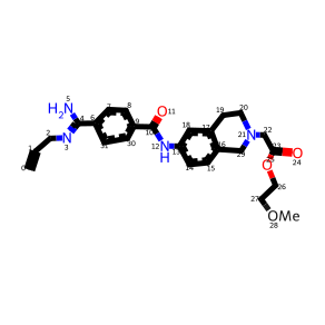 C#CCN=C(N)c1ccc(C(=O)Nc2ccc3c(c2)CCN(CC(=O)OCCOC)C3)cc1